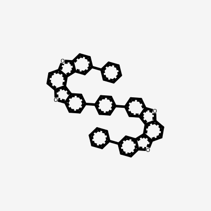 c1ccc(-c2ccc3oc4ccc5oc6ccc(-c7ccc(-c8ccc9oc%10ccc%11oc%12ccc(-c%13ccccc%13)cc%12c%11c%10c9c8)cc7)cc6c5c4c3c2)cc1